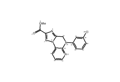 COC(=O)c1nc2n(n1)-c1cccnc1N(c1cccc(Cl)c1)C2